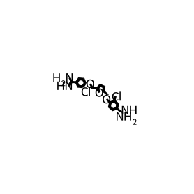 N=C(N)c1ccc(OCc2ccc(COc3ccc(C(=N)N)cc3Cl)o2)c(Cl)c1